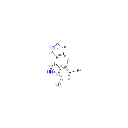 Fc1cc(Cl)c2[nH]cc(C3=CCCNC3)c2c1Cl